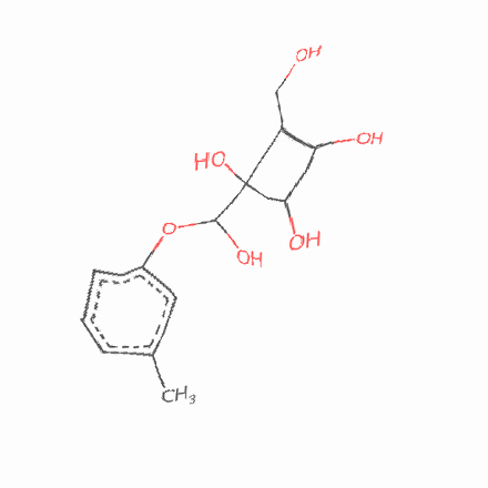 Cc1cccc(OC(O)C2(O)C(O)C(O)C2CO)c1